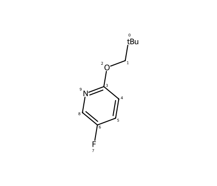 CC(C)(C)COc1ccc(F)cn1